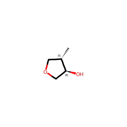 C[C@H]1COC[C@@H]1O